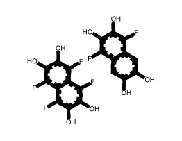 Oc1c(O)c(F)c2c(F)c(O)c(O)c(F)c2c1F.Oc1cc2c(F)c(O)c(O)c(F)c2cc1O